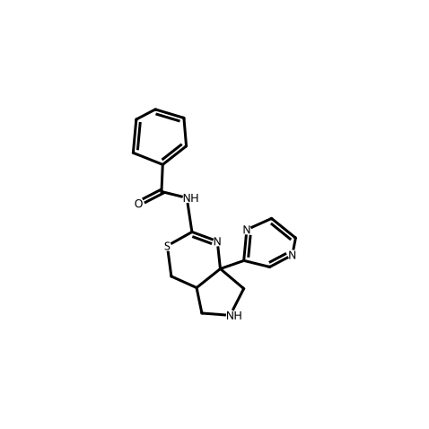 O=C(NC1=NC2(c3cnccn3)CNCC2CS1)c1ccccc1